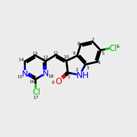 O=C1Nc2cc(Cl)ccc2C1=Cc1ccnc(Cl)n1